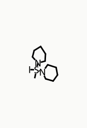 CS(I)(N1CCCCC1)N1CCCCC1